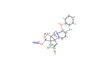 CC1(C)C(C)(C(=O)OC#N)C1(C=C(Br)Br)c1ccc(F)c(Oc2ccccc2)n1